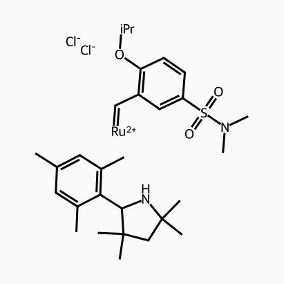 CC(C)Oc1ccc(S(=O)(=O)N(C)C)cc1[CH]=[Ru+2].Cc1cc(C)c(C2NC(C)(C)CC2(C)C)c(C)c1.[Cl-].[Cl-]